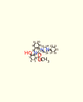 COC(=O)c1cccc(O)c1N(CCN1CCN(c2ccccc2)CC1)Cc1ccccc1